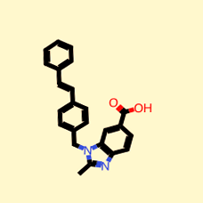 Cc1nc2ccc(C(=O)O)cc2n1Cc1ccc(/C=C/c2ccccc2)cc1